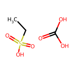 CCS(=O)(=O)O.O=C(O)O